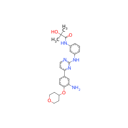 CC(C)(O)C(=O)Nc1cccc(Nc2nccc(-c3ccc(OC4CCOCC4)c(N)c3)n2)c1